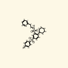 O=S(=O)(NCCc1ccccn1)c1cc(S(=O)(=O)c2ccc(F)cc2)ccc1C1CCCCC1